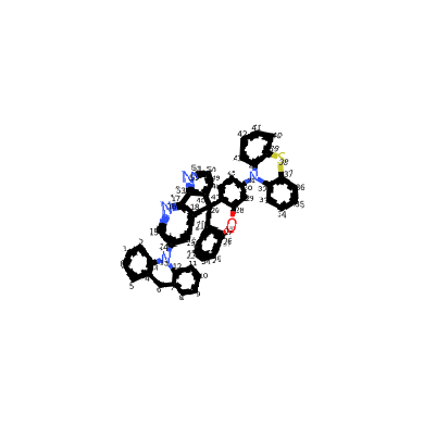 c1ccc2c(c1)Cc1ccccc1N2c1cnc2c(c1)C1(c3ccccc3Oc3cc(N4c5ccccc5Sc5ccccc54)ccc31)c1cccnc1-2